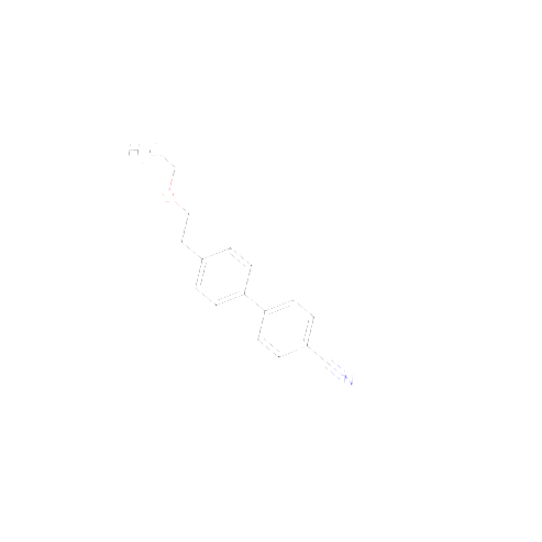 CCOCCc1ccc(-c2ccc(C#N)cc2)cc1